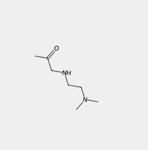 CC(=O)CNCCN(C)C